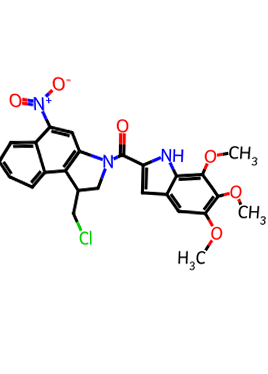 COc1cc2cc(C(=O)N3CC(CCl)c4c3cc([N+](=O)[O-])c3ccccc43)[nH]c2c(OC)c1OC